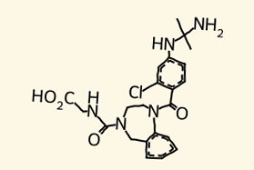 CC(C)(N)Nc1ccc(C(=O)N2CCN(C(=O)NCC(=O)O)Cc3ccccc32)c(Cl)c1